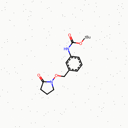 CC(C)(C)OC(=O)Nc1cccc(CON2CCCC2=O)c1